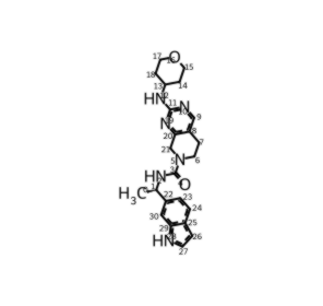 C[C@@H](NC(=O)N1CCc2cnc(NC3CCOCC3)nc2C1)c1ccc2cc[nH]c2c1